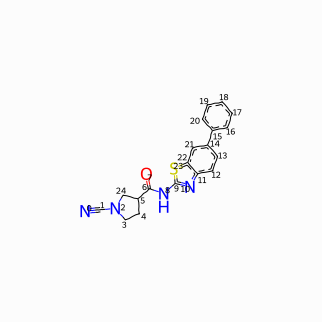 N#CN1CCC(C(=O)Nc2nc3ccc(-c4ccccc4)cc3s2)C1